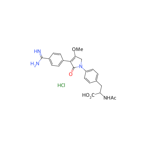 COC1=C(c2ccc(C(=N)N)cc2)C(=O)N(c2ccc(CC(NC(C)=O)C(=O)O)cc2)C1.Cl